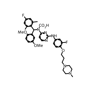 COc1ccc(OC)c(C(c2c(C)cc(F)cc2C)N(C(=O)O)c2ccnc(Nc3ccc(OCCCN4CCN(C)CC4)c(F)c3)n2)c1